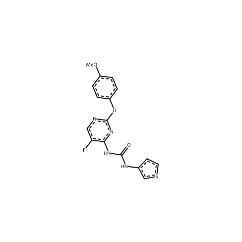 COc1ccc(Oc2ncc(F)c(NC(=O)Nc3ccsc3)n2)cc1